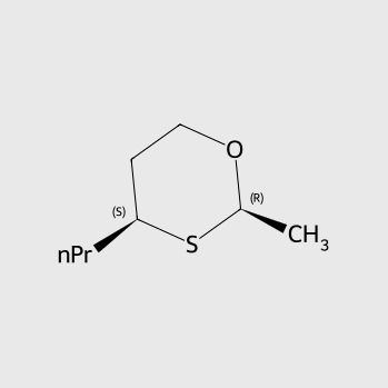 CCC[C@H]1CCO[C@@H](C)S1